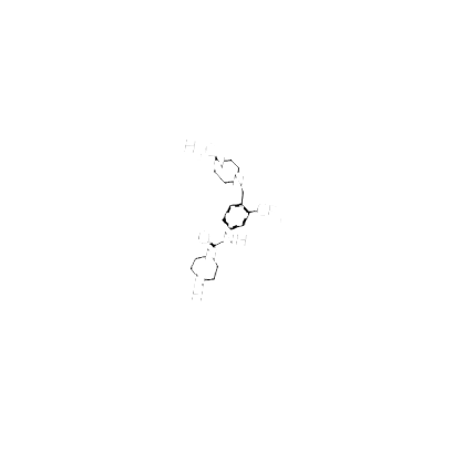 CN1CCN(Cc2ccc(NC(=O)N3CCNCC3)cc2C(F)(F)F)CC1